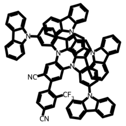 N#Cc1ccc(-c2cc(-n3c4cc(-n5c6ccccc6c6ccccc65)ccc4c4ccc(-n5c6ccccc6c6ccccc65)cc43)c(-n3c4cc(-n5c6ccccc6c6ccccc65)ccc4c4ccc(-n5c6ccccc6c6ccccc65)cc43)cc2C#N)c(C(F)(F)F)c1